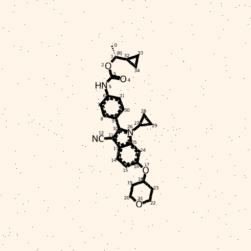 C[C@@H](OC(=O)Nc1ccc(-c2c(C#N)c3ccc(OC4CCOCC4)cc3n2C2CC2)cc1)C1CC1